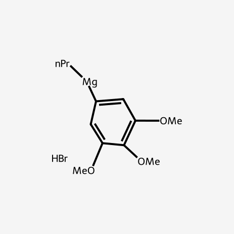 Br.CC[CH2][Mg][c]1cc(OC)c(OC)c(OC)c1